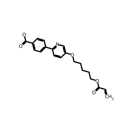 C=CC(=O)OCCCCCOc1ccc(-c2ccc(C([O])=O)cc2)nc1